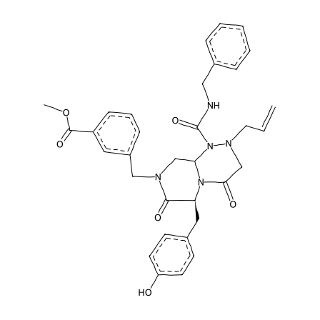 C=CCN1CC(=O)N2C(CN(Cc3cccc(C(=O)OC)c3)C(=O)[C@@H]2Cc2ccc(O)cc2)N1C(=O)NCc1ccccc1